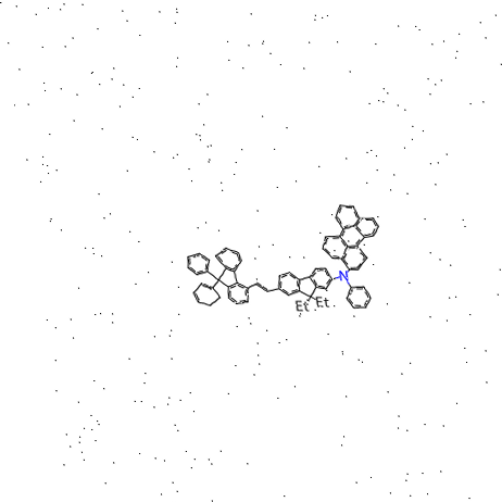 CCC1(CC)c2cc(/C=C/c3cccc4c3-c3ccccc3C4(C3=CC=CCC3)c3ccccc3)ccc2-c2ccc(N(c3ccccc3)c3ccc4c5cccc6cccc(c7cccc3c74)c65)cc21